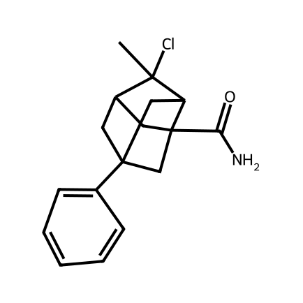 CC1(Cl)C2CC3(c4ccccc4)CC1C(C(N)=O)(C2)C3